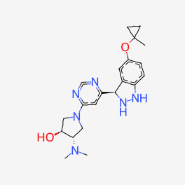 CN(C)[C@H]1CN(c2cc([C@@H]3NNc4ccc(OC5(C)CC5)cc43)ncn2)C[C@@H]1O